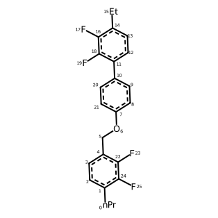 CCCc1ccc(COc2ccc(-c3ccc(CC)c(F)c3F)cc2)c(F)c1F